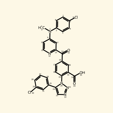 CN(c1ccc(Cl)cc1)c1ccnc(C(=O)c2ccc(-n3nncc3-c3cccc(Cl)c3)c(C(=O)O)c2)c1